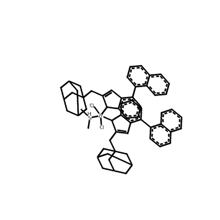 C[SiH](C)[Zr]([Cl])([Cl])([CH]1C(CC23CC4CC(CC(C4)C2)C3)=Cc2c(-c3cccc4ccccc34)cccc21)[CH]1C(CC23CC4CC(CC(C4)C2)C3)=Cc2c(-c3cccc4ccccc34)cccc21